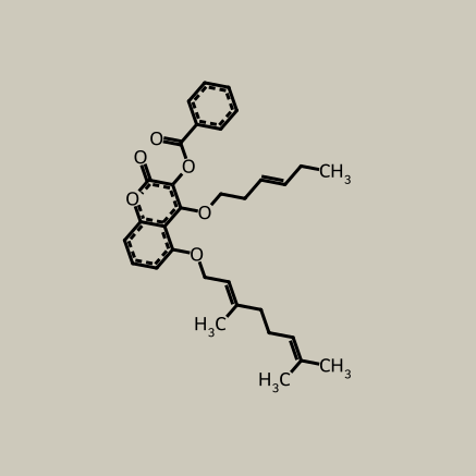 CCC=CCCOc1c(OC(=O)c2ccccc2)c(=O)oc2cccc(OC/C=C(\C)CCC=C(C)C)c12